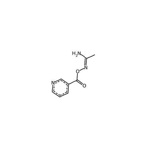 CC(N)=NOC(=O)c1cccnc1